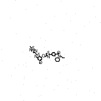 CCCN(C(=O)c1ccc(-c2nc(COc3cc(OC)cc4nc(-c5cn6nc(C)sc6n5)sc34)cs2)cc1)C1CCCCC1